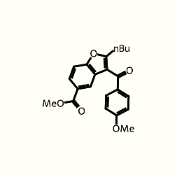 CCCCc1oc2ccc(C(=O)OC)cc2c1C(=O)c1ccc(OC)cc1